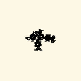 COc1ccc(-c2[nH]cc(CC(=O)c3ccc([N+](=O)[O-])cc3)[n+]2N=Cc2ccc(N(C)C)cc2)cc1.[Br-]